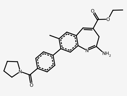 CCOC(=O)C1=Cc2cc(C)c(-c3ccc(C(=O)N4CCCC4)cc3)cc2N=C(N)C1